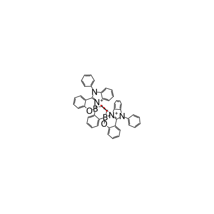 c1ccc(-n2c3[n+](c4ccccc42)[B-]2(Oc4ccccc4-3)c3ccccc3[B-]3(Oc4ccccc4-c4n(-c5ccccc5)c5ccccc5[n+]43)c3ccccc32)cc1